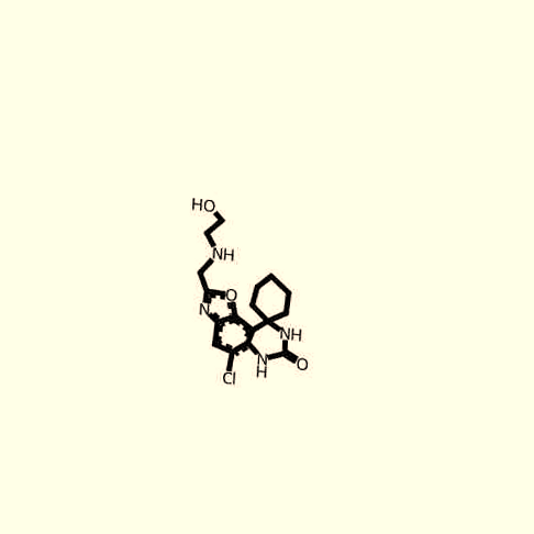 O=C1Nc2c(Cl)cc3nc(CNCCO)oc3c2C2(CCCCC2)N1